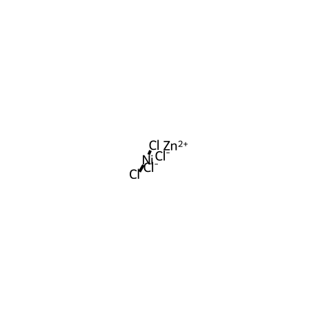 [Cl-].[Cl-].[Cl][Ni][Cl].[Zn+2]